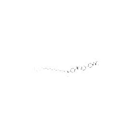 CCCCCCCCCCCCCOC(=O)c1ccc(C(=O)Oc2ccc(-c3ccc([N+](=O)[O-])cc3)cc2)cc1